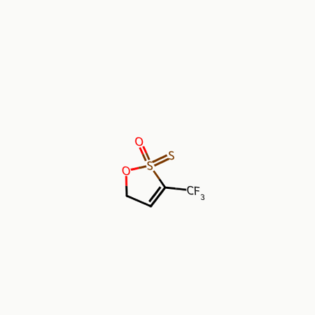 O=S1(=S)OCC=C1C(F)(F)F